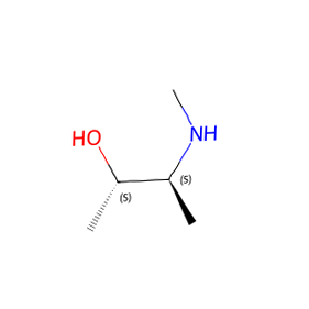 CN[C@@H](C)[C@H](C)O